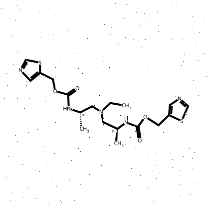 CCN(C[C@H](C)NC(=O)OCc1cncs1)C[C@H](C)NC(=O)OCc1cncs1